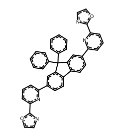 c1ccc(C2(c3ccccc3)c3cc(-c4cccc(-c5ncco5)n4)ccc3-c3ccc(-c4cccc(-c5ncco5)n4)cc32)cc1